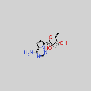 C=C1O[C@@H](c2ccc3c(N)ncnn23)[C@](C)(O)[C@@H]1O